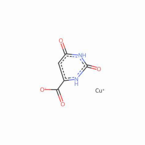 O=C([O-])c1cc(=O)[nH]c(=O)[nH]1.[Cu+]